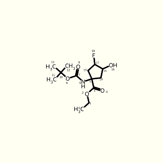 CCOC(=O)C1(NC(=O)OC(C)(C)C)CC(O)C(F)C1